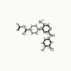 C=C(C)OC(=O)N1CCN(c2nc(Nc3ccc(F)c(Cl)c3)ncc2Br)CC1